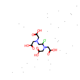 O=C(O)CN(CC(=O)O)CC(Cl)N(CC(=O)O)CC(=O)O